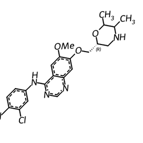 COc1cc2c(Nc3ccc(Cl)c(Cl)c3)ncnc2cc1OC[C@H]1CNC(C)C(C)O1